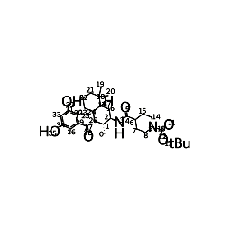 C[C@H]1[C@H](NC(=O)C2CCN(C(=O)OC(C)(C)C)CC2)C[C@H]2C(C)(C)CCC[C@]2(C)[C@H]1C(=O)c1cc(O)cc(O)c1